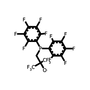 [O]C(CP(c1c(F)c(F)c(F)c(F)c1F)c1c(F)c(F)c(F)c(F)c1F)(C(F)(F)F)C(F)(F)F